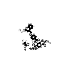 Cc1cc(COc2ccc(C(=O)N[C@H]3CN(C(=O)N(C)C)CC[C@@H]3C(=O)NO)cc2)c2ccccc2n1.O=C(O)C(F)(F)F